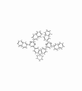 c1ccc2cc(-c3cc(-c4ccc(C5(c6ccc(-c7cc(-c8ccc9ccccc9c8)nc(-c8ccc9ccccc9c8)n7)cc6)CCCCC5)cc4)nc(-c4ccc5ccccc5c4)n3)ccc2c1